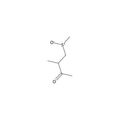 CC(=O)C(C)C[S+](C)[O-]